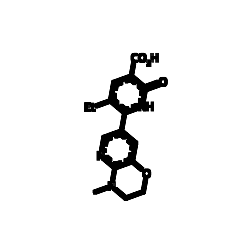 CCc1cc(C(=O)O)c(=O)[nH]c1-c1cnc2c(c1)OCCN2C